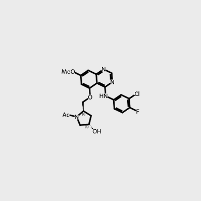 COc1cc(OC[C@H]2C[C@H](O)CN2C(C)=O)c2c(Nc3ccc(F)c(Cl)c3)ncnc2c1